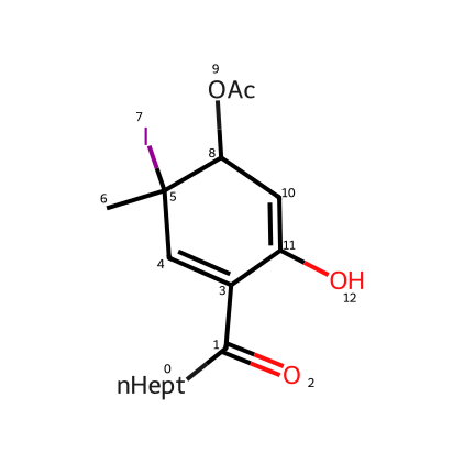 CCCCCCCC(=O)C1=CC(C)(I)C(OC(C)=O)C=C1O